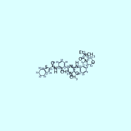 CCN(C)C(=O)[N+]1(Cc2ccccc2Nc2nc(-c3cccc(NC(=O)c4cc5c(s4)CCCC5)c3C)cn(C)c2=O)CCOCC1